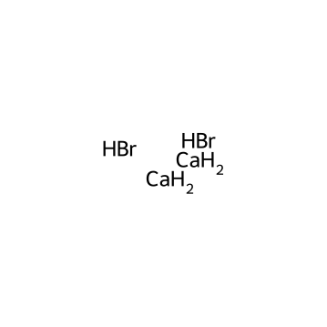 Br.Br.[CaH2].[CaH2]